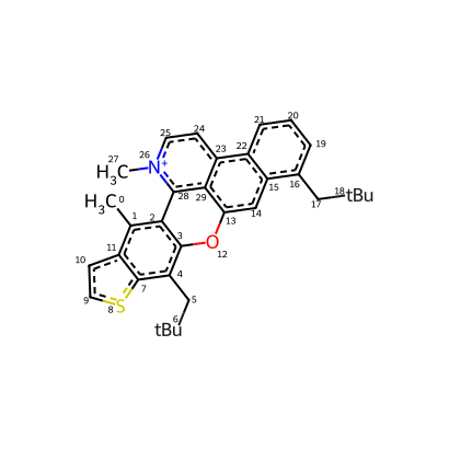 Cc1c2c(c(CC(C)(C)C)c3sccc13)Oc1cc3c(CC(C)(C)C)cccc3c3cc[n+](C)c-2c13